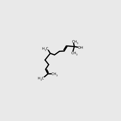 CC(C)=CCCC(C)CCC=CC(C)(C)O